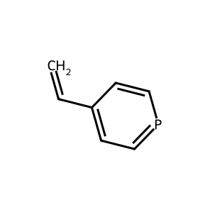 C=Cc1ccpcc1